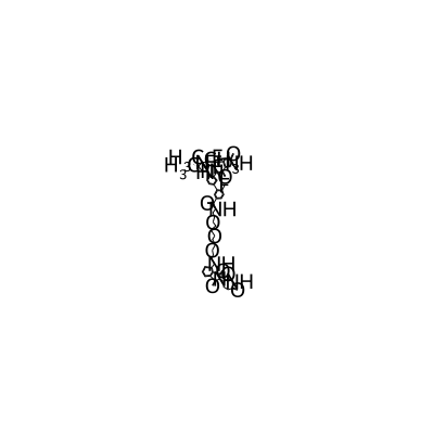 C[C@@H]1CN(c2ccc(-c3cc(C(=O)NCCOCCOCCOCCNc4cccc5c4C(=O)N(C4CCC(=O)NC4=O)C5=O)ccc3F)cc2NC(=O)c2c[nH]c(=O)cc2C(F)(F)F)C[C@H](C)N1C